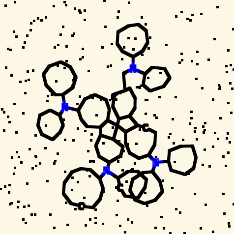 C1CCCCCC(N(C2CCCCCCC2)C2CCC3C4CCC(N(C5CCCCCCCC5)C5CCCCCCC5)CCCCC4C4(C5CCCC(CN(C6CCCCCCCC6)C6CCCCCC6)CCCC5C5CCCC(N(C6CCCCCCCC6)C6CCCCCCC6)CCCC54)C3CC2)CCCC1